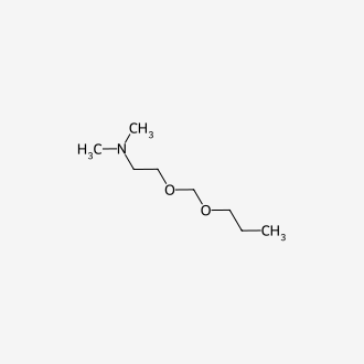 CCCOCOCCN(C)C